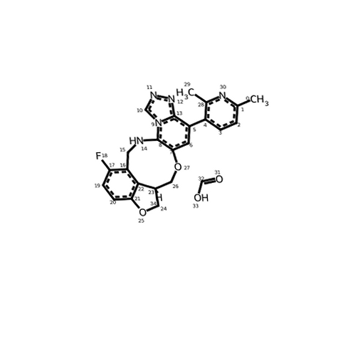 Cc1ccc(-c2cc3c(n4cnnc24)NCc2c(F)ccc4c2[C@@H](CO4)CO3)c(C)n1.O=CO